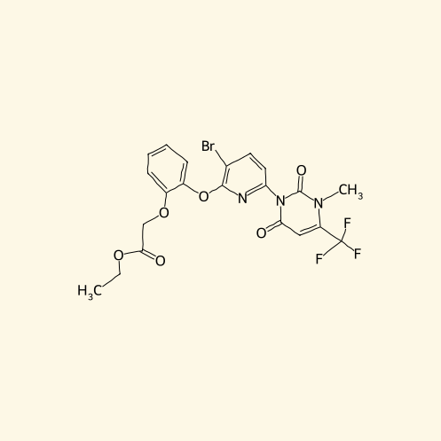 CCOC(=O)COc1ccccc1Oc1nc(-n2c(=O)cc(C(F)(F)F)n(C)c2=O)ccc1Br